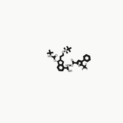 CC(C)(C)NC(=O)O[C@H]1c2cccc(C(=N)NOC(=O)c3cc(-c4ccccc4)c(C(F)(F)F)s3)c2CC1CCO[Si](C)(C)C(C)(C)C